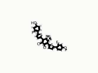 COc1ccc(-c2ccc(-c3c(Cl)c(Cl)c(-c4ccc(-c5ccc(O)cc5F)s4)c4nsnc34)s2)c(F)c1